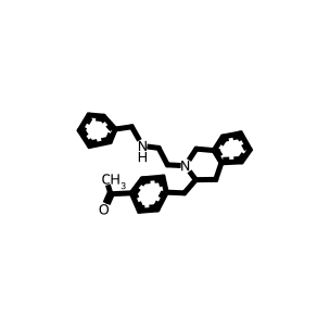 CC(=O)c1ccc(CC2Cc3ccccc3CN2CCNCc2ccccc2)cc1